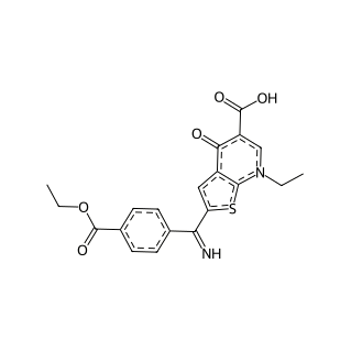 CCOC(=O)c1ccc(C(=N)c2cc3c(=O)c(C(=O)O)cn(CC)c3s2)cc1